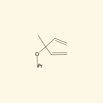 C=CC(C)(C=C)OC(C)C